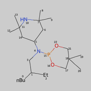 CCCCC(CC)CN(C1CC(C)(C)NC(C)(C)C1)P1OCC(C)(C)CO1